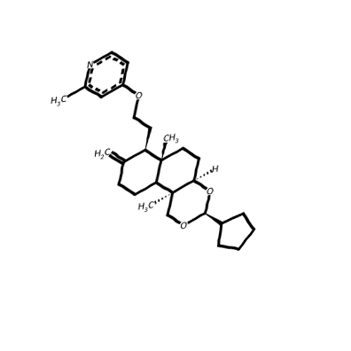 C=C1CCC2[C@]3(C)CO[C@H](C4CCCC4)O[C@@H]3CC[C@@]2(C)[C@@H]1CCOc1ccnc(C)c1